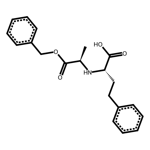 C[C@@H](N[C@@H](CCc1ccccc1)C(=O)O)C(=O)OCc1ccccc1